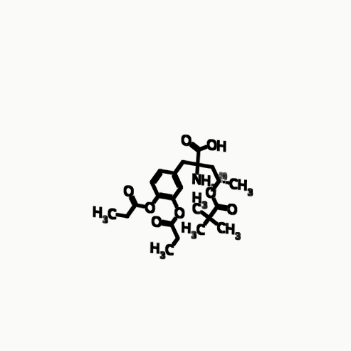 CCC(=O)Oc1ccc(CC(N)(C[C@H](C)OC(=O)C(C)(C)C)C(=O)O)cc1OC(=O)CC